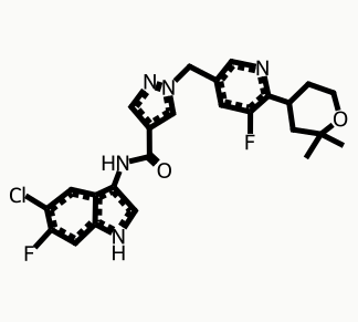 CC1(C)CC(c2ncc(Cn3cc(C(=O)Nc4c[nH]c5cc(F)c(Cl)cc45)cn3)cc2F)CCO1